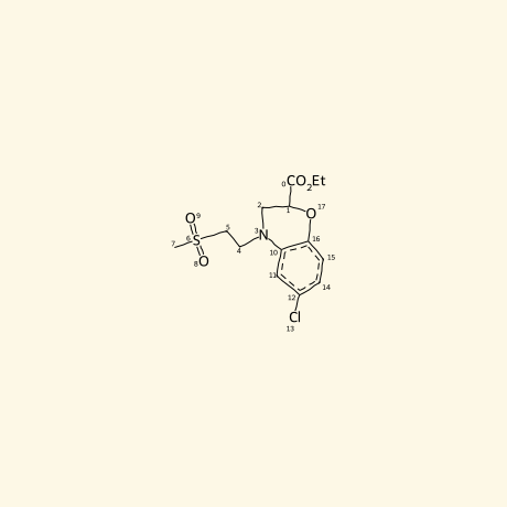 CCOC(=O)C1CN(CCS(C)(=O)=O)c2cc(Cl)ccc2O1